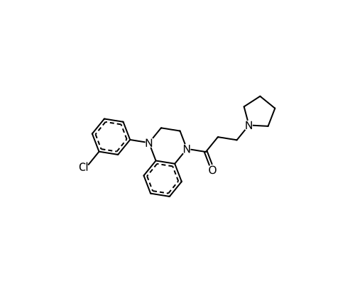 O=C(CCN1CCCC1)N1CCN(c2cccc(Cl)c2)c2ccccc21